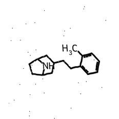 Cc1ccccc1CCC1CC2CCC(C1)N2